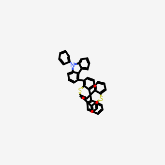 c1ccc(-c2cccc3c2C2(c4ccccc4Sc4ccccc42)c2cccc(-c4cccc5c4c4ccccc4n5-c4ccccc4)c2S3)cc1